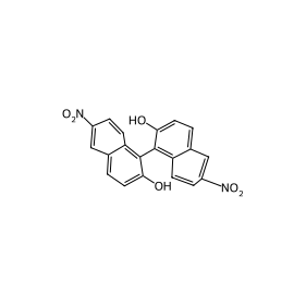 O=[N+]([O-])c1ccc2c(-c3c(O)ccc4cc([N+](=O)[O-])ccc34)c(O)ccc2c1